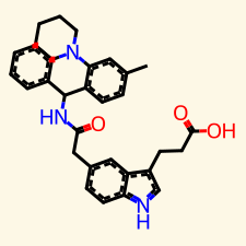 Cc1ccc(C(NC(=O)Cc2ccc3[nH]cc(CCC(=O)O)c3c2)c2ccccc2)c(N2CCCCC2)c1